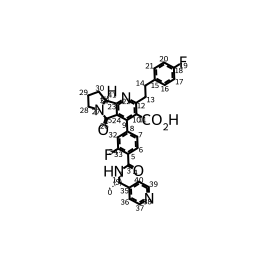 C[C@H](NC(=O)c1ccc(-c2c(C(=O)O)c(CCc3ccc(F)cc3)nc3c2C(=O)N2CCC[C@@H]32)cc1F)c1ccncc1